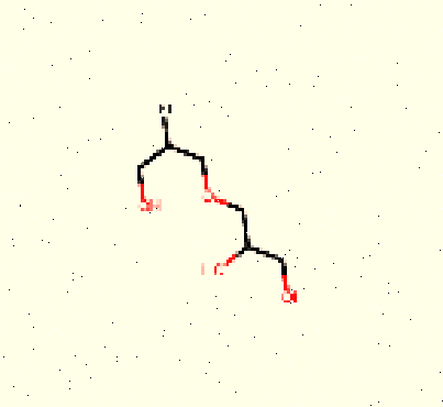 CCC(CO)COCC(O)CO